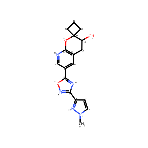 Cn1ccc(-c2noc(-c3cnc4c(c3)CC(O)C3(CCC3)O4)n2)n1